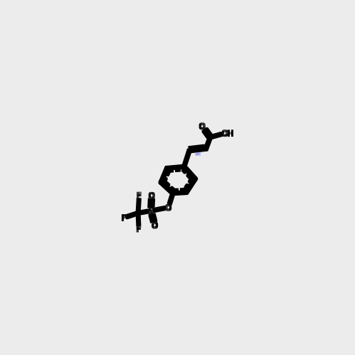 O=C(O)/C=C/c1ccc(OS(=O)(=O)C(F)(F)F)cc1